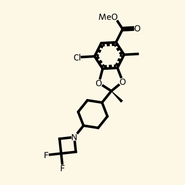 COC(=O)c1cc(Cl)c2c(c1C)O[C@](C)(C1CCC(N3CC(F)(F)C3)CC1)O2